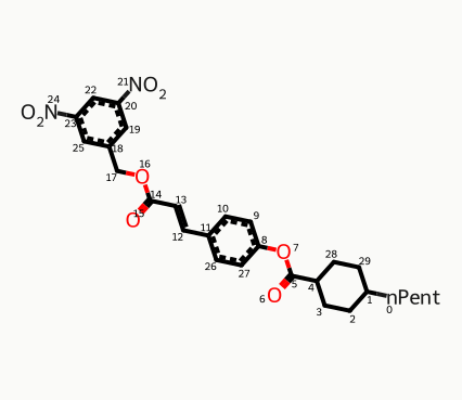 CCCCCC1CCC(C(=O)Oc2ccc(/C=C/C(=O)OCc3cc([N+](=O)[O-])cc([N+](=O)[O-])c3)cc2)CC1